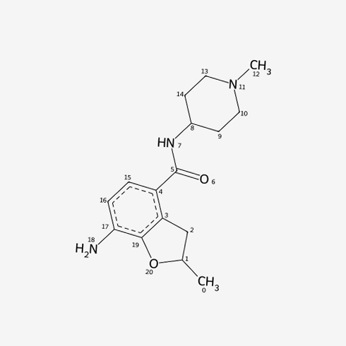 CC1Cc2c(C(=O)NC3CCN(C)CC3)ccc(N)c2O1